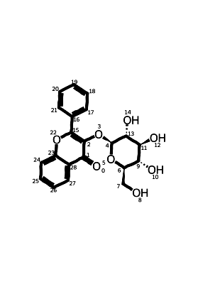 O=c1c(O[C@@H]2O[C@H](CO)[C@@H](O)[C@H](O)[C@H]2O)c(-c2ccccc2)oc2ccccc12